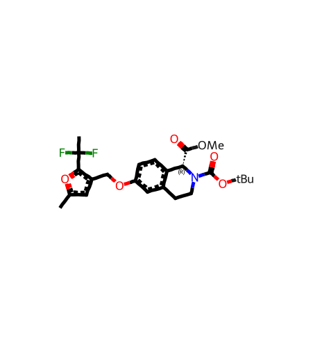 COC(=O)[C@H]1c2ccc(OCc3cc(C)oc3C(C)(F)F)cc2CCN1C(=O)OC(C)(C)C